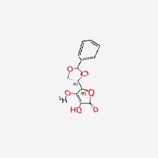 [2H]OC1=C(O)C(=O)O[C@@H]1[C@@H]1COC(c2ccccc2)O1